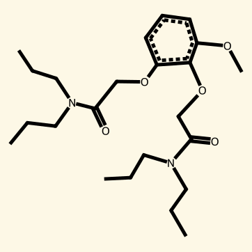 CCCN(CCC)C(=O)COc1cccc(OC)c1OCC(=O)N(CCC)CCC